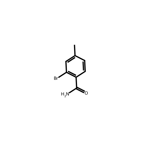 Cc1ccc(C(N)=O)c(Br)c1